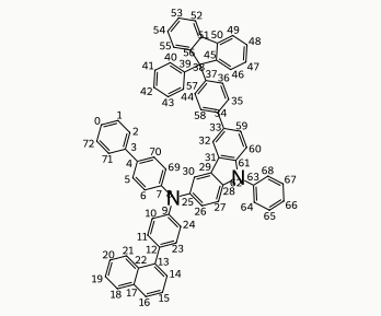 c1ccc(-c2ccc(N(c3ccc(-c4cccc5ccccc45)cc3)c3ccc4c(c3)c3cc(-c5ccc(C6(c7ccccc7)c7ccccc7-c7ccccc76)cc5)ccc3n4-c3ccccc3)cc2)cc1